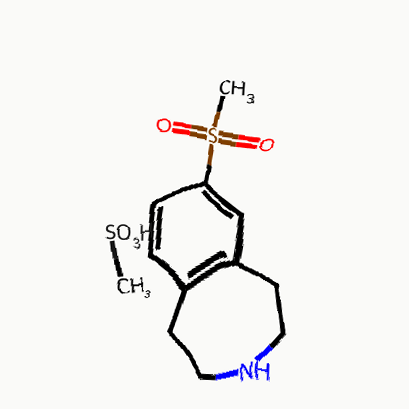 CS(=O)(=O)O.CS(=O)(=O)c1ccc2c(c1)CCNCC2